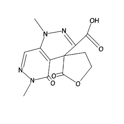 CN1N=C(C(=O)O)C2(CCOC2=O)c2c1cnn(C)c2=O